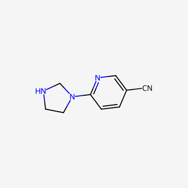 N#Cc1ccc(N2CCNC2)nc1